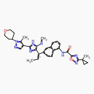 C=Nc1[nH]c(-c2cnn(C3CCOCC3)c2C)nc1/C(=C\C)c1ccc2c(NC(=O)c3nc(C4(C)CC4)no3)cccc2c1